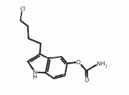 NC(=O)Oc1ccc2[nH]cc(CCCCCl)c2c1